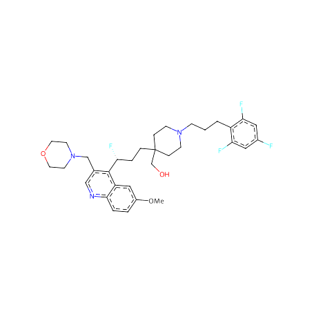 COc1ccc2ncc(CN3CCOCC3)c([C@H](F)CCC3(CO)CCN(CCCc4c(F)cc(F)cc4F)CC3)c2c1